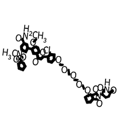 CCOc1cc2oc(-c3ccc(OCCOCCOCCOCCOc4cccc5c4C(=O)N(C4CCC(=O)NC4=O)C5=O)cc3Cl)cc(=O)c2cc1-c1cc(C(N)=O)cc(N(C)S(=O)(=O)c2ccccc2)c1